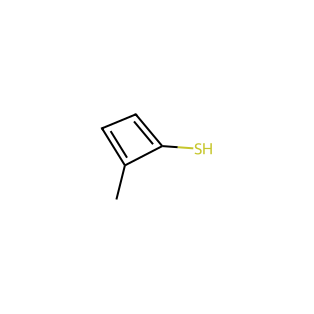 CC1=CC=C1S